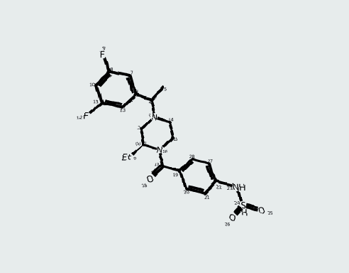 CC[C@H]1CN(C(C)c2cc(F)cc(F)c2)CCN1C(=O)c1ccc(N[SH](=O)=O)cc1